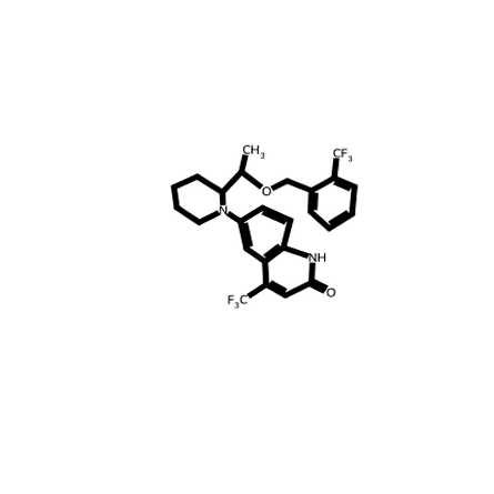 CC(OCc1ccccc1C(F)(F)F)C1CCCCN1c1ccc2[nH]c(=O)cc(C(F)(F)F)c2c1